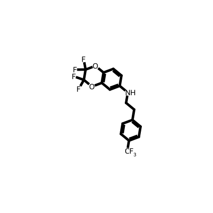 FC(F)(F)c1ccc(CCNc2ccc3c(c2)OC(F)(F)C(F)(F)O3)cc1